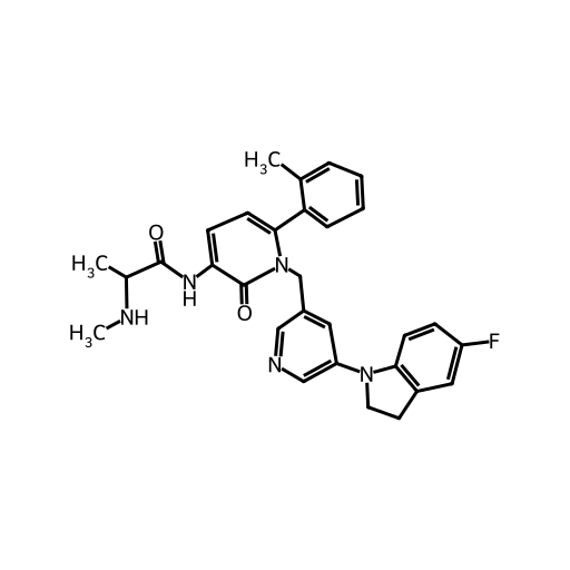 CNC(C)C(=O)Nc1ccc(-c2ccccc2C)n(Cc2cncc(N3CCc4cc(F)ccc43)c2)c1=O